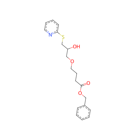 O=C(CCCOCC(O)CSc1ccccn1)OCc1ccccc1